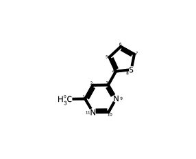 Cc1cc(-c2cccs2)ncn1